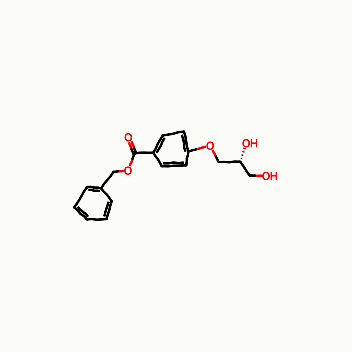 O=C(OCc1ccccc1)c1ccc(OC[C@H](O)CO)cc1